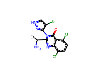 CCC(N)c1nc2c(Cl)ccc(Cl)c2c(=O)n1-c1n[nH]cc1Br